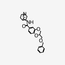 O=C(NC1CN2CCC1CC2)c1ccc2c(c1)OCC(COCc1ccccc1)O2